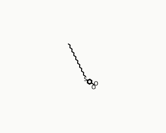 CCCCCCCCCCCCCCCCCCSc1ccc(C(=O)OC)cc1